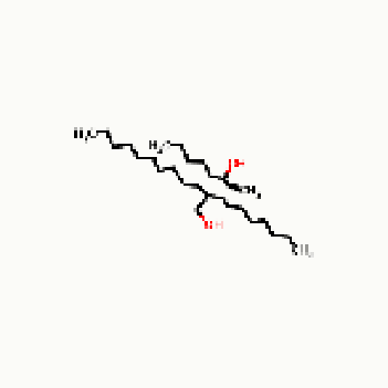 C=CC(O)CCCCC.CCCCCCCCCCC(CO)CCCCCCCC